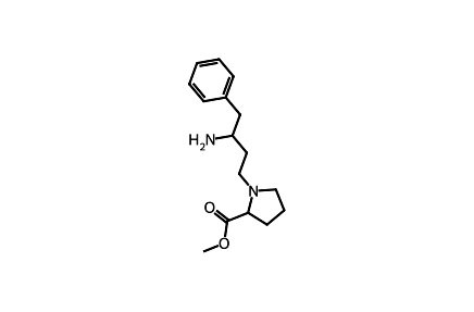 COC(=O)C1CCCN1CCC(N)Cc1ccccc1